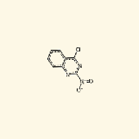 O=[N+]([O-])c1nc(Cl)c2ccccc2n1